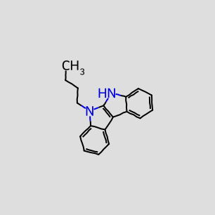 CCCCn1c2ccccc2c2c3ccccc3[nH]c21